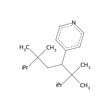 CC(C)C(C)(C)CC(c1ccncc1)C(C)(C)C(C)C